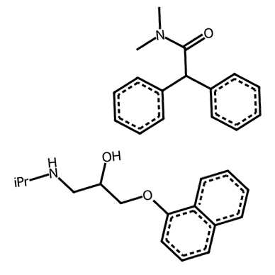 CC(C)NCC(O)COc1cccc2ccccc12.CN(C)C(=O)C(c1ccccc1)c1ccccc1